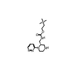 C[Si](C)(C)CCOC(=O)NC[C@H]1CNCCN1c1cccnn1